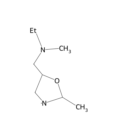 CCN(C)CC1C[N]C(C)O1